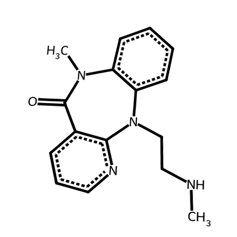 CNCCN1c2ccccc2N(C)C(=O)c2cccnc21